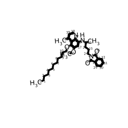 CCCCCCCCCCCCOc1c(OC)cc(NC(C)CCCN2C(=O)c3ccccc3C2=O)c2nccc(C)c12